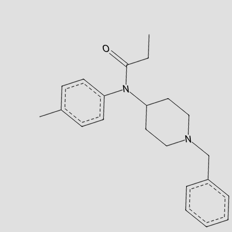 CCC(=O)N(c1ccc(C)cc1)C1CCN(Cc2ccccc2)CC1